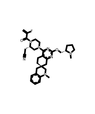 C=C(F)C(=O)N1CCN(c2nc(OC[C@@H]3CCCN3C)nc3c2CC[C@@]2(Cc4ccccc4N(C)C2)C3)C[C@@H]1CC#N